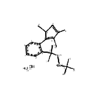 CC1=CC(C)C(c2ccccc2[C](C)(C)[Ti][NH]C(C)(C)C)=C1C.Cl.Cl